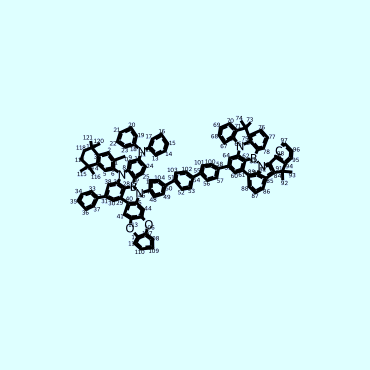 Cc1cc2c(cc1N1c3cc(N(c4ccccc4)c4ccccc4)ccc3B3c4c(cc(-c5ccccc5)cc41)-c1cc4c(cc1N3c1ccc(-c3ccc(-c5ccc(-c6cc7c8c(c6)N6c9ccccc9C(C)(C)c9cccc(c96)B8n6c8c(c9cccc-7c96)C(C)(C)c6ccccc6-8)cc5)cc3)cc1)Oc1ccccc1O4)C(C)(C)CCC2(C)C